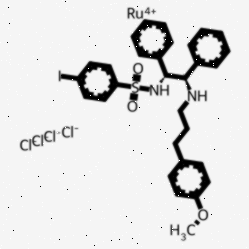 COc1ccc(CCCN[C@H](c2ccccc2)[C@H](NS(=O)(=O)c2ccc(I)cc2)c2ccccc2)cc1.[Cl-].[Cl-].[Cl-].[Cl-].[Ru+4]